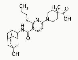 CCCSc1nc(N2CCC(C)(C(=O)O)CC2)ccc1C(=O)NC1C2CC3CC1CC(O)(C3)C2